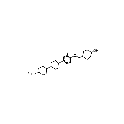 CCCCCC1CCC(C2CCC(c3ccc(OCC4CCC(O)CC4)c(F)c3)CC2)CC1